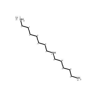 NCCCCCCCNCCCCCN.[Li]